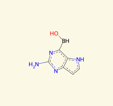 Nc1nc(BO)c2[nH]ccc2n1